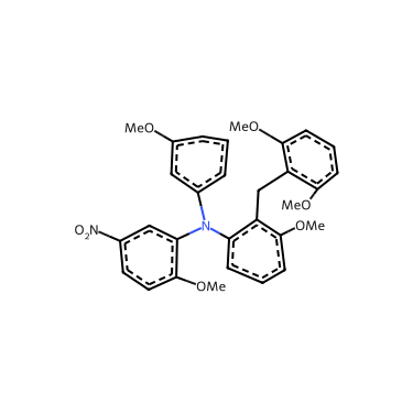 COc1cccc(N(c2cc([N+](=O)[O-])ccc2OC)c2cccc(OC)c2Cc2c(OC)cccc2OC)c1